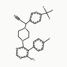 N#CC(c1ccc(C(F)(F)F)nc1)N1CCN(c2ncnc(N)c2-c2ccc(F)cc2)CC1